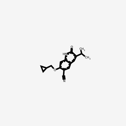 CC(C)c1cc2cc(C#N)c(OCC3CC3)cc2[nH]c1=O